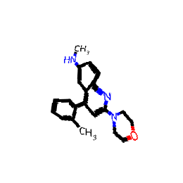 CNc1ccc2nc(N3CCOCC3)cc(-c3ccccc3C)c2c1